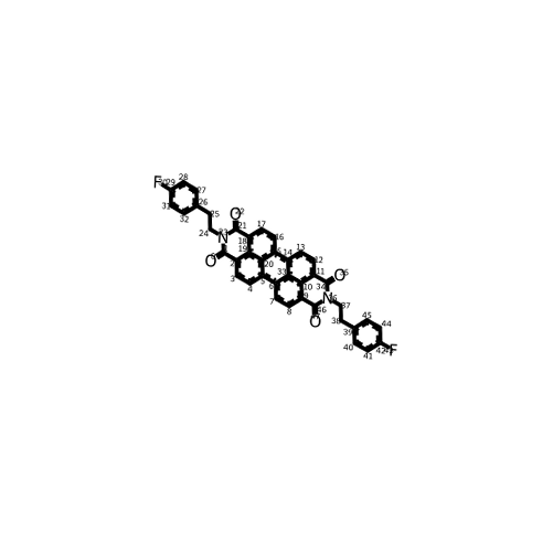 O=C1c2ccc3c4ccc5c6c(ccc(c7ccc(c2c37)C(=O)N1CCc1ccc(F)cc1)c64)C(=O)N(CCc1ccc(F)cc1)C5=O